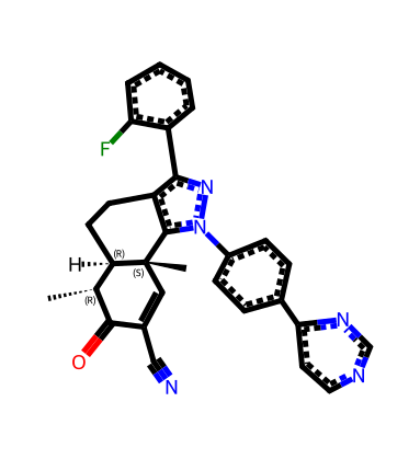 C[C@H]1C(=O)C(C#N)=C[C@@]2(C)c3c(c(-c4ccccc4F)nn3-c3ccc(-c4ccncn4)cc3)CC[C@H]12